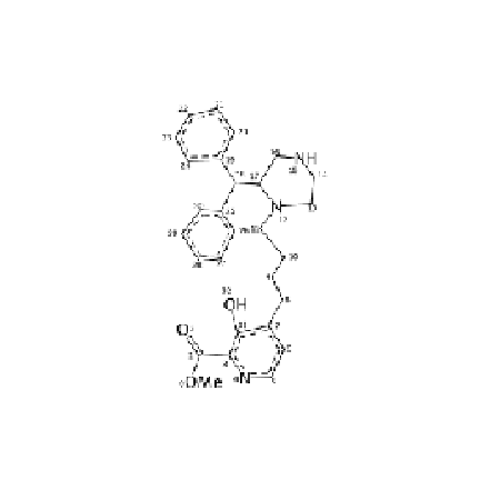 COC(=O)c1nccc(CCCCN2CCNCC2C(c2ccccc2)c2ccccc2)c1O